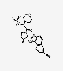 C#Cc1ccc2c(ccc3nc([C@@H]4C(=C)CCN4C(=O)[C@@H](NC(=O)OC)C4CCOCC4)[nH]c32)c1